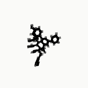 C#COC(=O)CC(O)C(c1c(-c2ccc(F)cc2)cc(-c2ccccc2)nc1C1CC1)[PH](=O)O